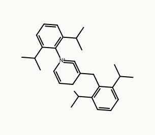 CC(C)c1cccc(C(C)C)c1CC1=C=[N+](c2c(C(C)C)cccc2C(C)C)C=CC1